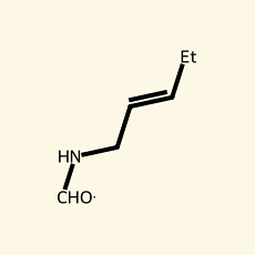 CCC=CCN[C]=O